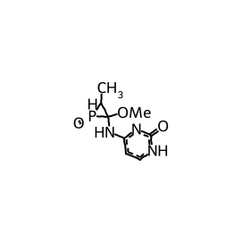 COC1(Nc2cc[nH]c(=O)n2)C(C)[PH]1=O